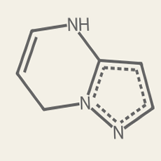 C1=CNc2ccnn2C1